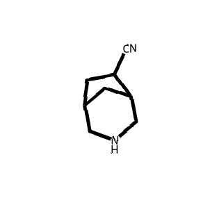 N#CC1CC2CNCC1C2